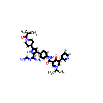 CC(C)C(=O)N1CCC(c2cc(-c3ccc(NC(=O)c4cn(C(C)C)cc(-c5cncc(F)c5)c4=O)cc3)c(/C(N)=N\C=N)[nH]2)CC1